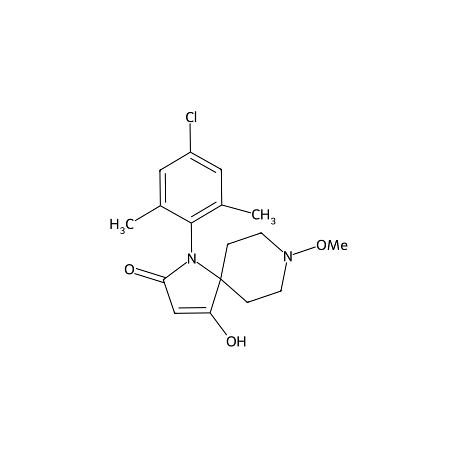 CON1CCC2(CC1)C(O)=CC(=O)N2c1c(C)cc(Cl)cc1C